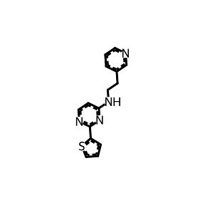 c1cncc(CCNc2ccnc(-c3cccs3)n2)c1